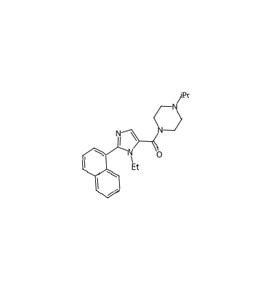 CCn1c(C(=O)N2CCN(C(C)C)CC2)cnc1-c1cccc2ccccc12